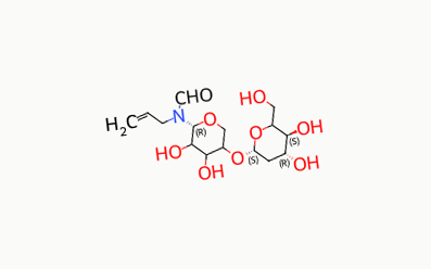 C=CCN(C=O)[C@@H]1OCC(O[C@H]2C[C@@H](O)[C@H](O)C(CO)O2)C(O)C1O